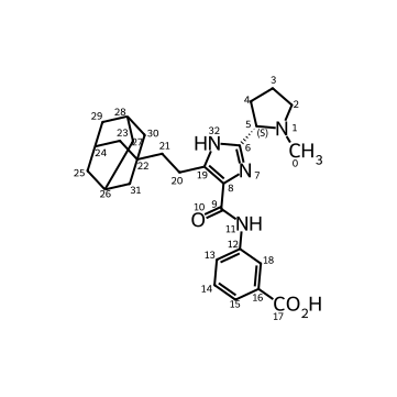 CN1CCC[C@H]1c1nc(C(=O)Nc2cccc(C(=O)O)c2)c(CCC23CC4CC(CC(C4)C2)C3)[nH]1